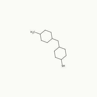 CC1CCC(CC2CCC(S)CC2)CC1